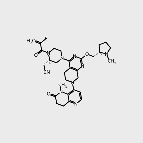 C=C(F)C(=O)N1CCN(c2nc(OC[C@@H]3CCCN3C)nc3c2CCN(c2ccnc4c2N(C)C(=O)CC4)C3)C[C@@H]1CC#N